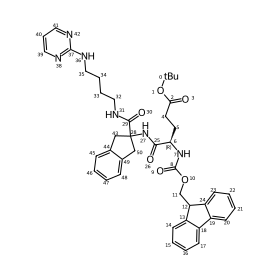 CC(C)(C)OC(=O)CC[C@@H](NC(=O)OCC1c2ccccc2-c2ccccc21)C(=O)NC1(C(=O)NCCCCNc2ncccn2)Cc2ccccc2C1